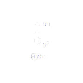 CC(=O)N1c2cc(OCC(N)=O)[c]cc2C(C)(c2ccccc2)C(C(N)=O)C1(C)C